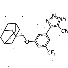 N#Cc1[nH]nnc1-c1cc(OCC23CC4CC(CC(C4)C2)C3)cc(C(F)(F)F)c1